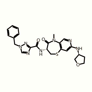 CN1C(=O)[C@@H](NC(=O)c2ncn(Cc3ccccc3)n2)CSc2cc(N[C@H]3CCOC3)ncc21